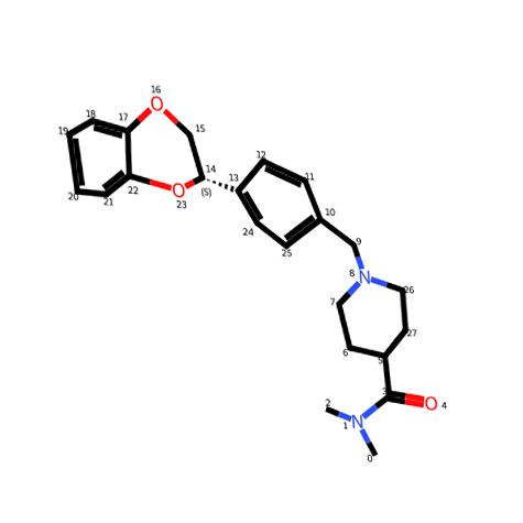 CN(C)C(=O)C1CCN(Cc2ccc([C@H]3COc4ccccc4O3)cc2)CC1